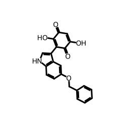 O=C1C=C(O)C(=O)C(c2c[nH]c3ccc(OCc4ccccc4)cc23)=C1O